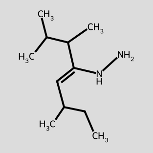 CCC(C)/C=C(\NN)C(C)C(C)C